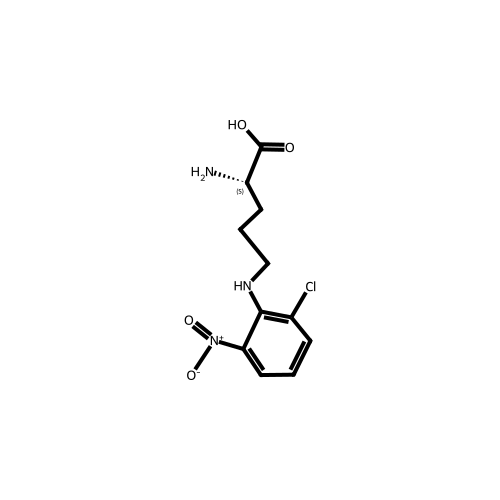 N[C@@H](CCCNc1c(Cl)cccc1[N+](=O)[O-])C(=O)O